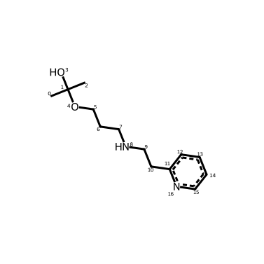 CC(C)(O)OCCCNCCc1ccccn1